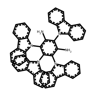 Nc1c(-n2c3ccccc3c3ccccc32)c(N)c(-n2c3ccccc3c3ccccc32)c(-n2c3ccccc3c3ccccc32)c1-n1c2ccccc2c2ccccc21